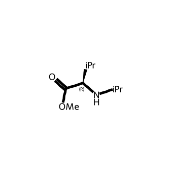 COC(=O)[C@H](NC(C)C)C(C)C